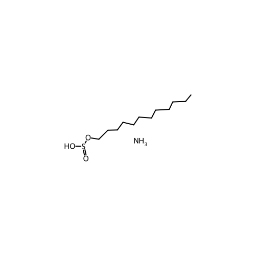 CCCCCCCCCCCCOS(=O)O.N